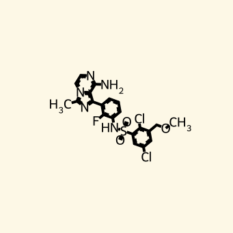 COCc1cc(Cl)cc(S(=O)(=O)Nc2cccc(-c3nc(C)n4ccnc(N)c34)c2F)c1Cl